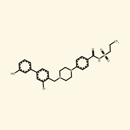 CCc1cc(-c2cccc(O)c2)ccc1CN1CCN(c2ccc(C(=O)NS(=O)(=O)CCC(F)(F)F)cc2)CC1